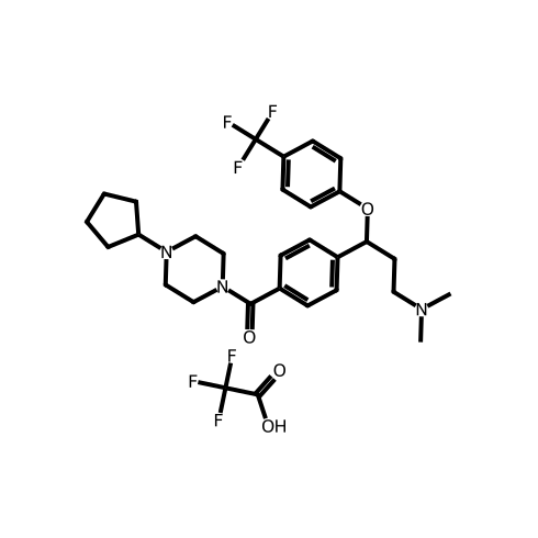 CN(C)CCC(Oc1ccc(C(F)(F)F)cc1)c1ccc(C(=O)N2CCN(C3CCCC3)CC2)cc1.O=C(O)C(F)(F)F